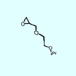 CC(C)OCCOCC1CO1